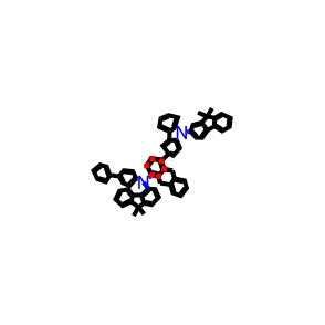 CC1(C)c2ccccc2-c2ccc(-n3c4ccccc4c4cc(-c5ccc(N(c6ccc(-c7ccccc7)cc6)c6cccc7c6-c6ccccc6C7(C)C)c6c5C5c7ccccc7C6c6ccccc65)ccc43)cc21